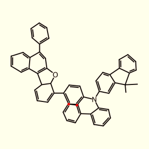 CC1(C)c2ccccc2-c2ccc(N(c3ccc(C4=CC=CC5c6c(cc(-c7ccccc7)c7ccccc67)OC45)cc3)c3ccccc3-c3ccccc3)cc21